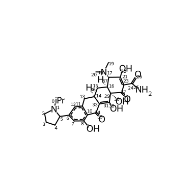 CC(C)N1CCCC1c1cc(O)c2c(c1)C[C@H]1C[C@H]3[C@H](N(C)C)C(O)=C(C(N)=O)C(=O)[C@@]3(O)C(O)=C1C2=O